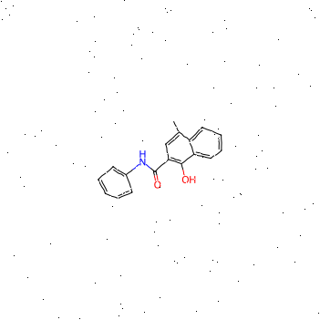 Cc1cc(C(=O)Nc2ccccc2)c(O)c2ccccc12